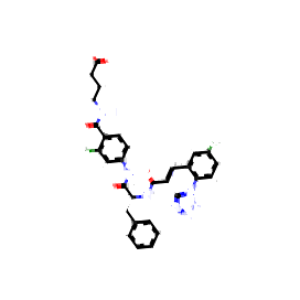 O=C(O)CCCNC(=O)c1ccc(NC(=O)[C@H](Cc2ccccc2)NC(=O)/C=C/c2cc(Cl)ccc2-n2cnnn2)cc1F